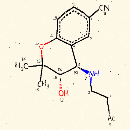 CC(=O)CCN[C@@H]1c2cc(C#N)ccc2OC(C)(C)[C@H]1O